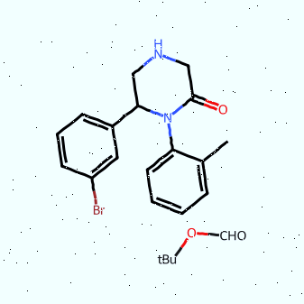 CC(C)(C)OC=O.Cc1ccccc1N1C(=O)CNCC1c1cccc(Br)c1